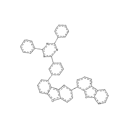 c1ccc(-c2nc(-c3ccccc3)nc(-c3cccc(-c4cccc5oc6ccc(-c7cccc8c7oc7ccccc78)cc6c45)c3)n2)cc1